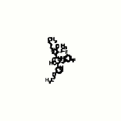 CCCCN1CC(C(=O)N[C@@H](Cc2cc(F)cc(F)c2)[C@H](O)c2cc(OCC)ccn2)[C@@H](CC)C1=O